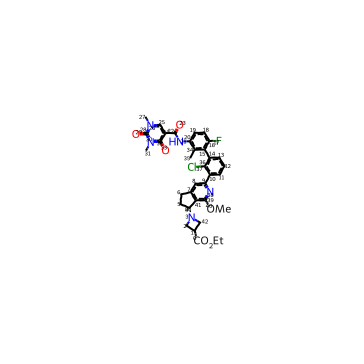 CCOC(=O)C1CN([C@@H]2CCc3cc(-c4cccc(-c5c(F)ccc(NC(=O)c6cn(C)c(=O)n(C)c6=O)c5C)c4Cl)nc(OC)c32)C1